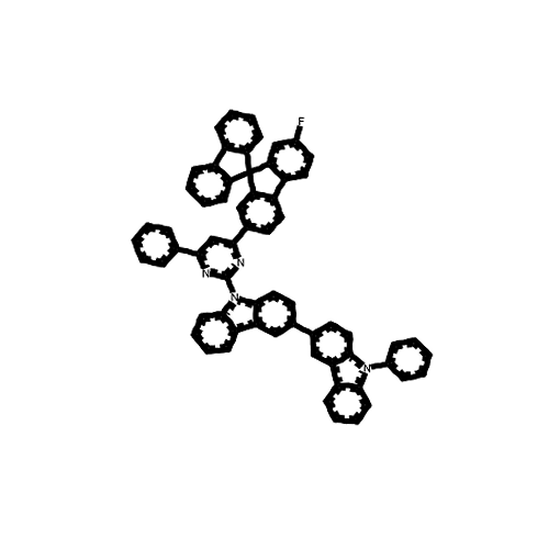 Fc1ccc2c(c1)C1(c3ccccc3-c3ccccc31)c1cc(-c3cc(-c4ccccc4)nc(-n4c5ccccc5c5cc(-c6ccc7c(c6)c6ccccc6n7-c6ccccc6)ccc54)n3)ccc1-2